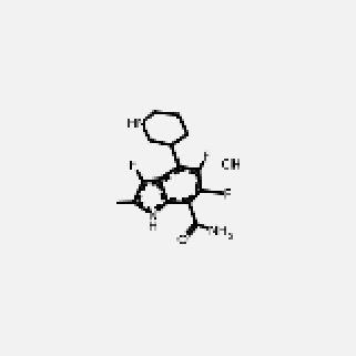 Cc1[nH]c2c(C(N)=O)c(F)c(F)c(C3CCCNC3)c2c1F.Cl